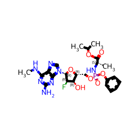 CNc1nc(N)nc2c1ncn2[C@@H]1O[C@H](COP(=O)(N[C@@H](C)C(=O)OC(C)C)Oc2ccccc2)[C@@H](O)[C@H]1F